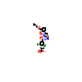 CCCCOCc1cccc(-c2csc(NC(=O)c3cc(F)c(C=C(C)C(=O)O)c(F)c3)n2)c1OC